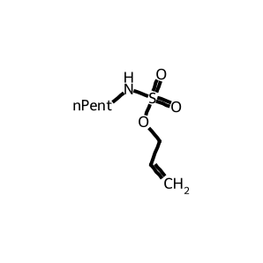 C=CCOS(=O)(=O)NCCCCC